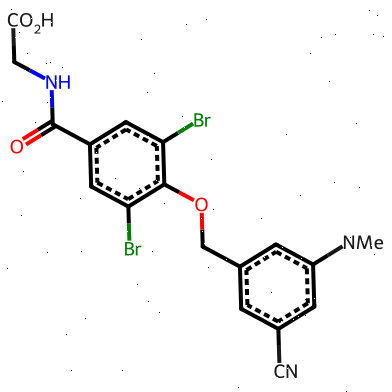 CNc1cc(C#N)cc(COc2c(Br)cc(C(=O)NCC(=O)O)cc2Br)c1